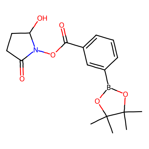 CC1(C)OB(c2cccc(C(=O)ON3C(=O)CCC3O)c2)OC1(C)C